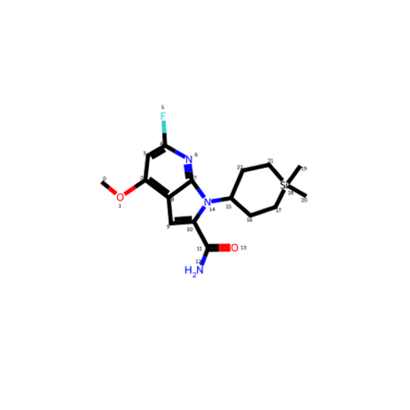 COc1cc(F)nc2c1cc(C(N)=O)n2C1CC[Si](C)(C)CC1